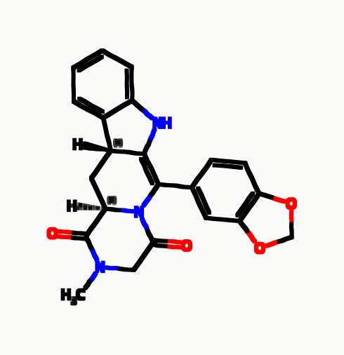 CN1CC(=O)N2C(c3ccc4c(c3)OCO4)=C3Nc4ccccc4[C@H]3C[C@@H]2C1=O